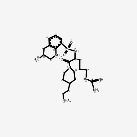 CC(=O)NCCC1CCN(C(=O)[C@H](CCCNC(=N)N)NS(=O)(=O)c2cccc3c2NCC(C)C3)CC1